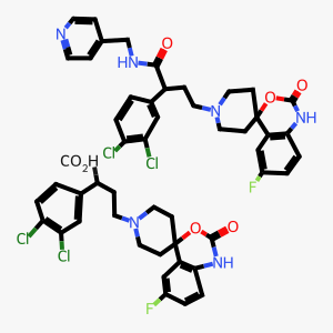 O=C1Nc2ccc(F)cc2C2(CCN(CCC(C(=O)NCc3ccncc3)c3ccc(Cl)c(Cl)c3)CC2)O1.O=C1Nc2ccc(F)cc2C2(CCN(CCC(C(=O)O)c3ccc(Cl)c(Cl)c3)CC2)O1